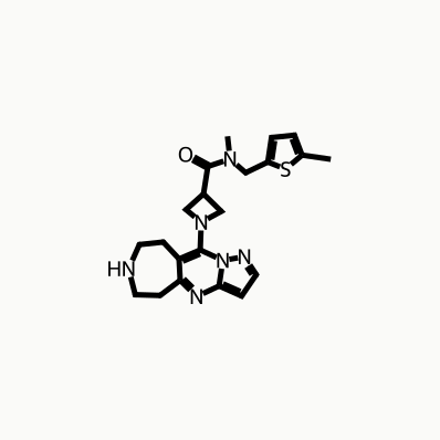 Cc1ccc(CN(C)C(=O)C2CN(c3c4c(nc5ccnn35)CCNCC4)C2)s1